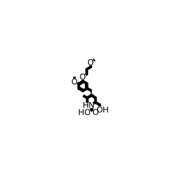 COCCCOc1cc(C[C@@H](CC(CO)NC(=O)O)C(C)C)ccc1OC